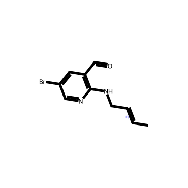 C/C=C/CNc1ncc(Br)cc1C=O